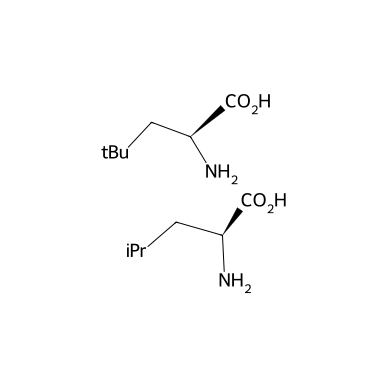 CC(C)(C)C[C@H](N)C(=O)O.CC(C)C[C@H](N)C(=O)O